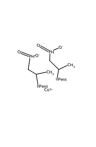 CCCCCC(C)C[PH](=O)[O-].CCCCCC(C)C[PH](=O)[O-].[Co+3]